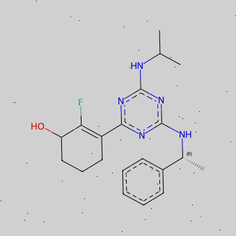 CC(C)Nc1nc(N[C@H](C)c2ccccc2)nc(C2=C(F)C(O)CCC2)n1